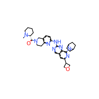 CN1CCCC[C@@H]1C(=O)N1CCc2nc(Nc3ncc4cc(C5COC5)nc(N5C6CCC5CC6)c4n3)ccc2C1